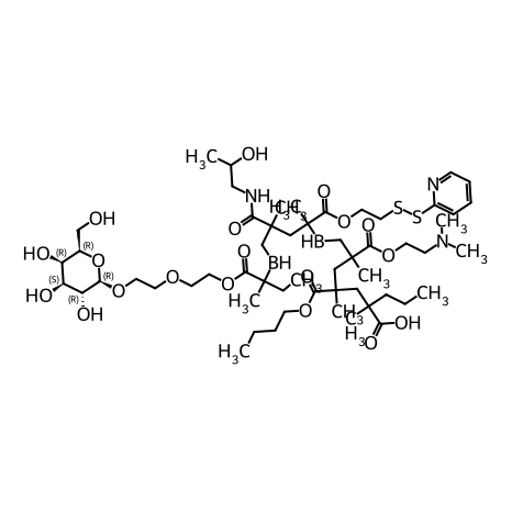 CCCCOC(=O)C(C)(CC(C)(CCC)C(=O)O)CC(C)(CBC(C)(CC(C)(CBC(C)(CC)C(=O)OCCOCCO[C@@H]1O[C@H](CO)[C@H](O)[C@H](O)[C@H]1O)C(=O)NCC(C)O)C(=O)OCCSSc1ccccn1)C(=O)OCCN(C)C